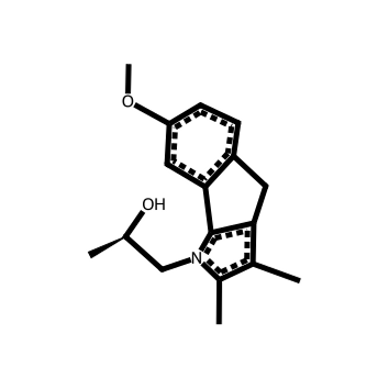 COc1ccc2c(c1)-c1c(c(C)c(C)n1C[C@@H](C)O)C2